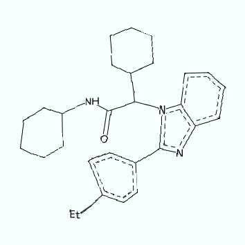 CCc1ccc(-c2nc3ccccc3n2C(C(=O)NC2CCCCC2)C2CCCCC2)cc1